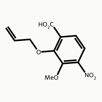 C=CCOc1c(C(=O)O)ccc([N+](=O)[O-])c1OC